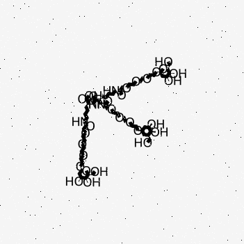 O=C(COCCOCCOCCO[C@H]1C[C@@H](O)[C@@H](O)[C@@H](CO)O1)NCCCC[C@H](NC(=O)[C@H](CCCCNC(=O)COCCOCCOCCO[C@H]1C[C@@H](O)[C@@H](O)[C@@H](CO)O1)NC(=O)COCCOCCOCCO[C@@H]1C[C@H](CO)[C@H](O)[C@H](O)C1)C(=O)O